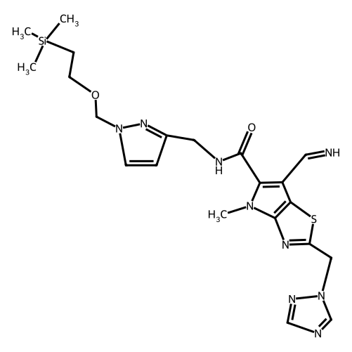 Cn1c(C(=O)NCc2ccn(COCC[Si](C)(C)C)n2)c(C=N)c2sc(Cn3cncn3)nc21